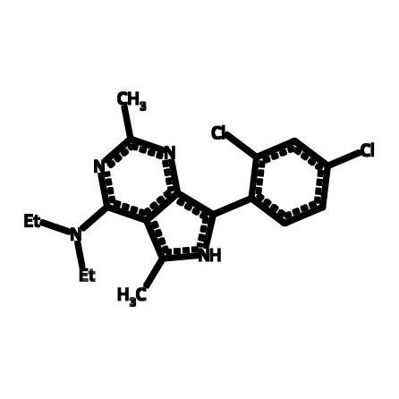 CCN(CC)c1nc(C)nc2c(-c3ccc(Cl)cc3Cl)[nH]c(C)c12